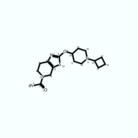 CC(C)C(=O)N1CCc2nc(OC3CCN(C4CCC4)CC3)sc2C1